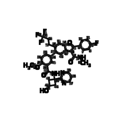 CNC(=O)c1c(-c2ccc(F)cc2)oc2cc(CCC(F)(F)F)c(-c3ccc(OC)c(C(=O)NC4(c5ncccn5)CC(O)C4)c3)cc12